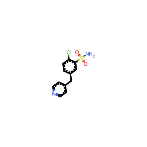 NS(=O)(=O)c1cc(Cc2ccncc2)ccc1Cl